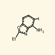 CCc1nc2c(N)c(I)ccc2o1